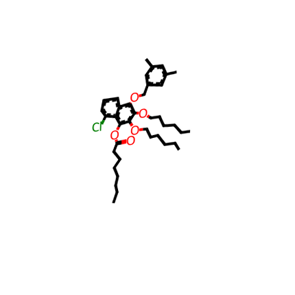 CCCCCCCC(=O)Oc1c(OCCCCCC)c(OCCCCCC)c(OCc2cc(C)cc(C)c2)c2cccc(Cl)c12